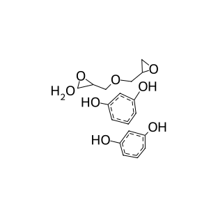 C(OCC1CO1)C1CO1.O.Oc1cccc(O)c1.Oc1cccc(O)c1